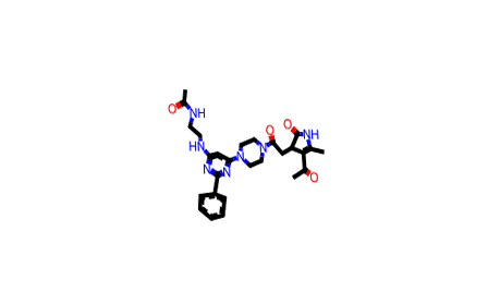 CC(=O)NCCNc1cc(N2CCN(C(=O)CC3C(=O)NC(C)=C3C(C)=O)CC2)nc(-c2ccccc2)n1